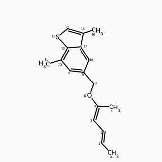 C/C=C/C=C(\C)OCc1cc(C)c2scc(C)c2c1